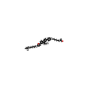 C=CC(=O)OCCCCCCOc1ccc(-c2ccc3c(c2)C(CCC)(CCC)c2cc(-c4ccc(OCCCCCCOC(=O)C=C)cc4)ccc2-3)cc1